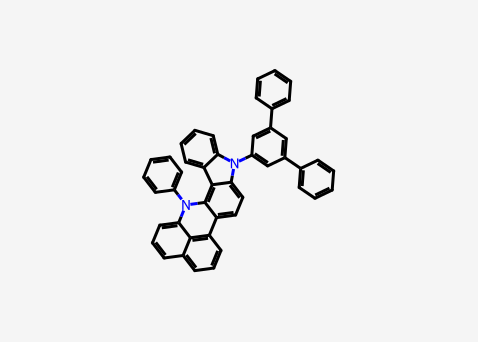 c1ccc(-c2cc(-c3ccccc3)cc(-n3c4ccccc4c4c5c(ccc43)-c3cccc4cccc(c34)N5c3ccccc3)c2)cc1